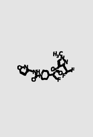 Cn1cc(S(=O)(=O)C(CF)C2CCN(C(=O)Nc3ccon3)CC2)c(C(F)F)n1